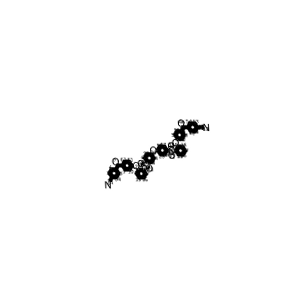 N#Cc1ccc(C(=O)c2ccc(Oc3ccccc3S(=O)(=O)c3ccc(Oc4ccc(S(=O)(=O)c5ccccc5Oc5ccc(C(=O)c6ccc(C#N)cc6)cc5)cc4)cc3)cc2)cc1